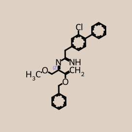 C=C(OCc1ccccc1)/C(COC)=N\C(=N)Cc1ccc(-c2ccccc2)c(Cl)c1